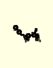 Cn1nnc2c(C#N)nc(-c3ccc(OCCC4CCN(c5ccccn5)CC4)c(C(F)(F)F)c3)cc21